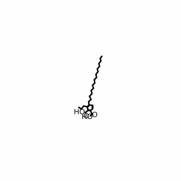 CCCCCCCCCCCCCCCCCCc1ccc(C(=O)O)c(C(=O)O)c1CCC